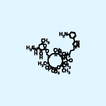 CC[C@H]1OC(=O)[C@@](C)(F)C(=O)[C@H](C)C[C@@H](CO[C@@H]2O[C@H](C)C[C@H](NC)[C@H]2O)C[C@@H](C)C(=O)[C@H](C)[C@H]2N(CCCCn3cc(-c4cccc(N)c4)nn3)C(=O)O[C@]12C